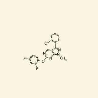 Cn1nc(-c2ccccc2Cl)c2cnc(Oc3ccc(F)cc3F)nc21